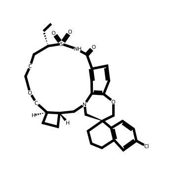 CC[C@H]1CCCOC[C@@H]2CC[C@H]2CN2C[C@@]3(CCCc4cc(Cl)ccc43)COc3ccc(cc32)C(=O)NS1(=O)=O